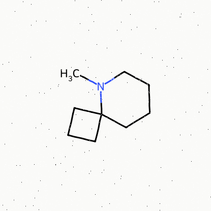 CN1CCCCC12CCC2